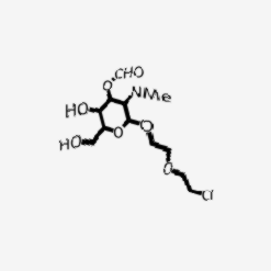 CNC1C(OCCOCCCl)OC(CO)C(O)C1OC=O